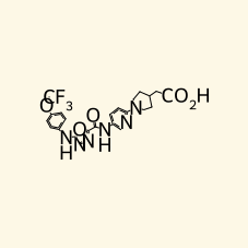 O=C(O)CC1CCN(c2ccc(NC(=O)c3nnc(Nc4ccc(OC(F)(F)F)cc4)o3)cn2)CC1